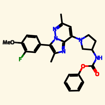 COc1ccc(-c2c(C)nc3c(N4CCC(NC(=O)Oc5ccccc5)C4)cc(C)nn23)cc1F